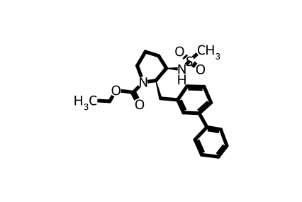 CCOC(=O)N1CCC[C@@H](NS(C)(=O)=O)[C@H]1Cc1cccc(-c2ccccc2)c1